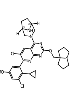 Oc1cc(Cl)c(C2CC2)c(-c2nc3nc(OCC45CCCN4CCC5)nc(N4C[C@H]5CC[C@@H](C4)N5)c3cc2Cl)c1